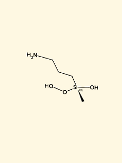 C[Si@](O)(CCCN)OO